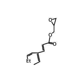 C/C=C(\C=C/CC)/C=C/C(=O)OCC1CO1